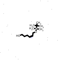 CC(C)(C)[Si](C)(C)OC/C=C\CCCO